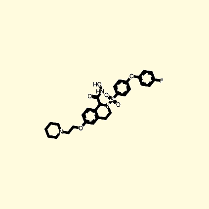 O=C(NO)C1c2ccc(OCCN3CCCCC3)cc2CCN1S(=O)(=O)c1ccc(Oc2ccc(F)cc2)cc1